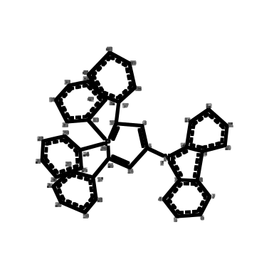 C1=C(n2c3ccccc3c3ccccc32)C=C(c2ccccc2)P(c2ccccc2)(c2ccccc2)=C1c1ccccc1